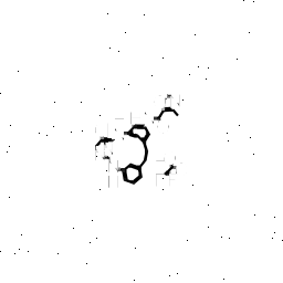 Cc1ncoc1C(=O)Nc1cc2cc(c1)Nc1nc(ncc1Cl)Nc1cccc(c1)CC2.O=C(O)C(F)(F)F